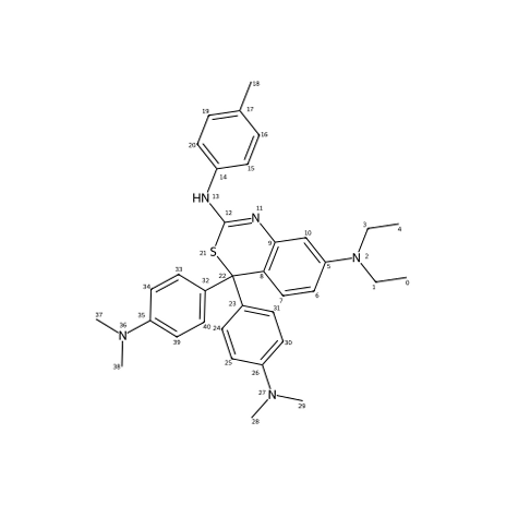 CCN(CC)c1ccc2c(c1)N=C(Nc1ccc(C)cc1)SC2(c1ccc(N(C)C)cc1)c1ccc(N(C)C)cc1